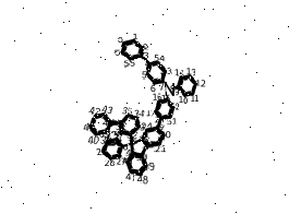 c1ccc(-c2ccc(N(c3ccccc3)c3ccc(-c4ccc5c(c4)C(c4ccccc4)(c4cccc6c4oc4ccccc46)c4ccccc4-5)cc3)cc2)cc1